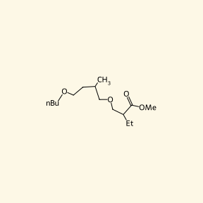 CCCCOCCC(C)COCC(CC)C(=O)OC